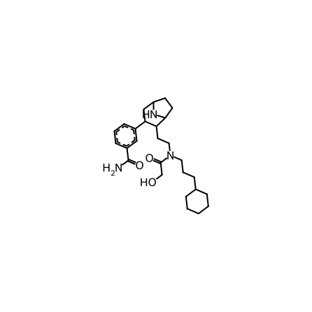 NC(=O)c1cccc(C2CC3CCC(N3)C2CCN(CCCC2CCCCC2)C(=O)CO)c1